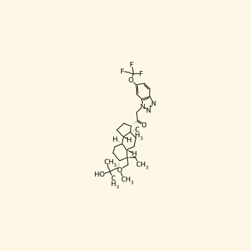 CC[C@@]1(COC)[C@H](CC(C)(C)O)CC[C@H]2[C@@H]3CC[C@H](C(=O)Cn4nnc5ccc(OC(F)(F)F)cc54)[C@@]3(C)CC[C@@H]21